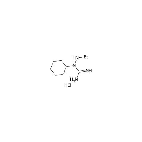 CCNN(C(=N)N)C1CCCCC1.Cl